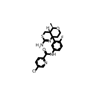 C[C@H]1OCCC2(c3cc(NC(=O)c4ccc(Cl)cn4)ccc3F)N=C(N)SC[C@H]12